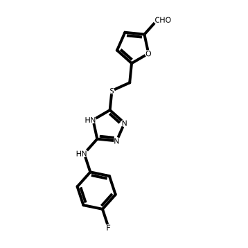 O=Cc1ccc(CSc2nnc(Nc3ccc(F)cc3)[nH]2)o1